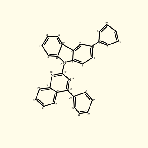 c1ccc(-c2ccc3c(c2)c2ccccc2n3-c2nc(-c3ccccc3)c3ccccc3n2)cc1